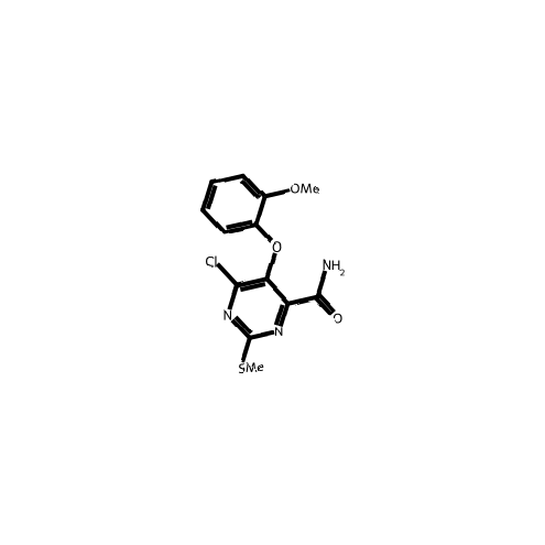 COc1ccccc1Oc1c(Cl)nc(SC)nc1C(N)=O